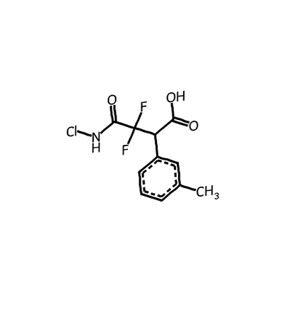 Cc1cccc(C(C(=O)O)C(F)(F)C(=O)NCl)c1